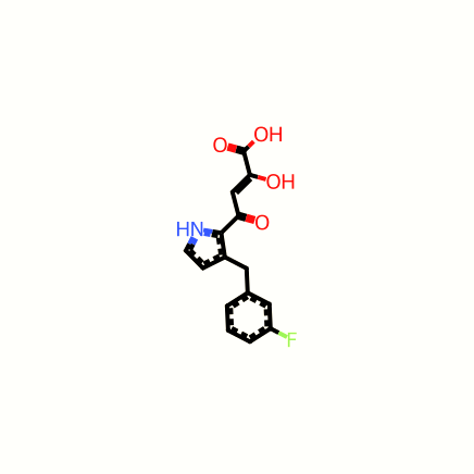 O=C(O)C(O)=CC(=O)c1[nH]ccc1Cc1cccc(F)c1